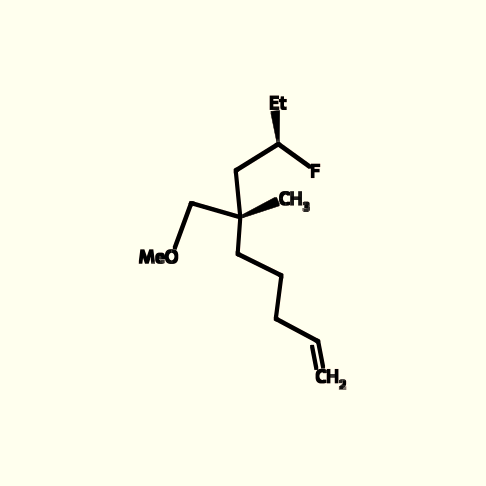 C=CCCC[C@](C)(COC)C[C@H](F)CC